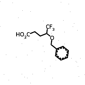 O=C(O)CCC(OCc1ccccc1)C(F)(F)F